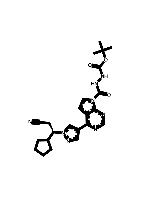 CC(C)(C)OC(=O)NNC(=O)n1ccc2c(-c3cnn([C@H](CC#N)C4CCCC4)c3)ncnc21